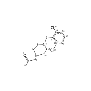 CC(=O)CC1CCN(Cc2c(Cl)cccc2Cl)CC1